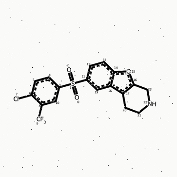 O=S(=O)(c1ccc(Cl)c(C(F)(F)F)c1)c1ccc2oc3c(c2c1)CCNC3